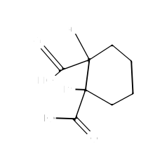 O=C(O)C1(Br)CCCCC1(Br)C(=O)O